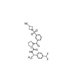 CC(NC(=O)[C@H]1CCCN1C(=O)c1cccc(S(=O)(=O)N2CC(C#N)C2)c1)c1ccc(C(F)F)cc1